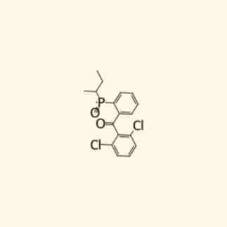 CCC(C)[P](=O)c1ccccc1C(=O)c1c(Cl)cccc1Cl